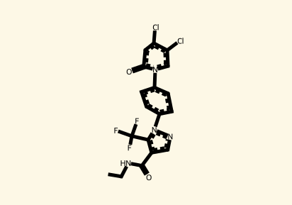 CCNC(=O)c1cnn(-c2ccc(-n3cc(Cl)c(Cl)cc3=O)cc2)c1C(F)(F)F